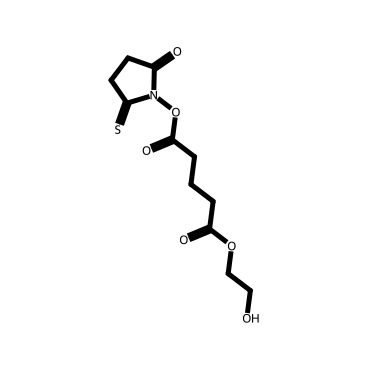 O=C(CCCC(=O)ON1C(=O)CCC1=S)OCCO